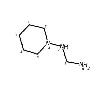 NCNN1CCCCC1